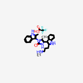 CCNCCCc1[nH]c2ccccc2c1-c1[nH]c(=O)n(-c2c(C)[nH]c3ccccc23)c1C#N.O=C(O)C(F)(F)F